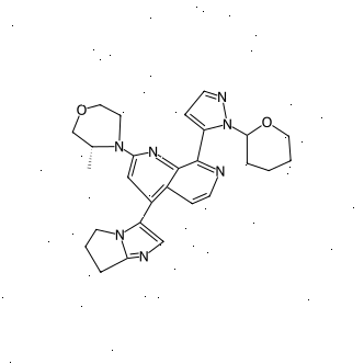 C[C@@H]1COCCN1c1cc(-c2cnc3n2CCC3)c2ccnc(-c3ccnn3C3CCCCO3)c2n1